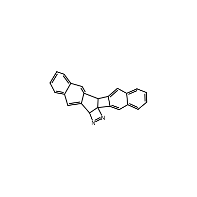 c1ccc2cc3c(cc2c1)C1N=NC12c1cc4ccccc4cc1C32